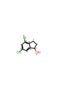 OC1CCc2c(Br)cc(Cl)cc21